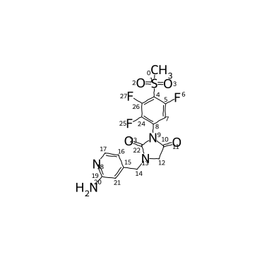 CS(=O)(=O)c1c(F)cc(N2C(=O)CN(Cc3ccnc(N)c3)C2=O)c(F)c1F